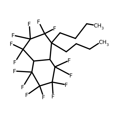 CCCCC1(CCCC)C2C(C(F)(F)C(F)(F)C(F)(F)C2(F)F)C(F)(F)C(F)(F)C1(F)F